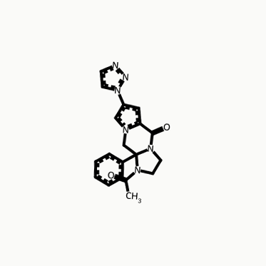 CC(=O)N1CCN2C(=O)c3cc(-n4ccnn4)cn3CC12c1ccccc1